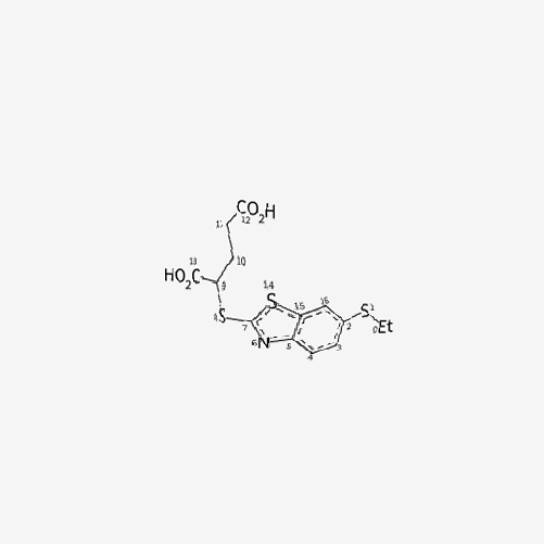 CCSc1ccc2nc(SC(CCC(=O)O)C(=O)O)sc2c1